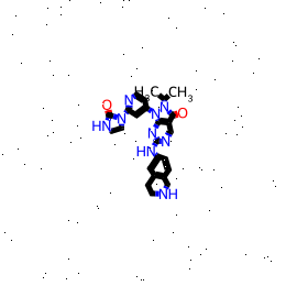 CC(C)n1c(=O)c2cnc(Nc3ccc4c(c3)CCNC4)nc2n1-c1ccnc(N2CCNC2=O)c1